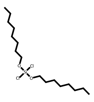 CCCCCCCCO[Si](Cl)(Cl)OCCCCCCCC